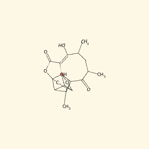 CC1CC(C)/C(O)=C2/C(=O)OC34CC(C)C5OC23C(CC4C5O)C1=O